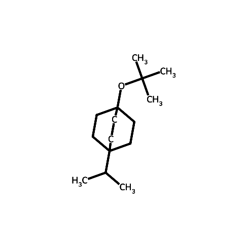 CC(C)C12CCC(OC(C)(C)C)(CC1)CC2